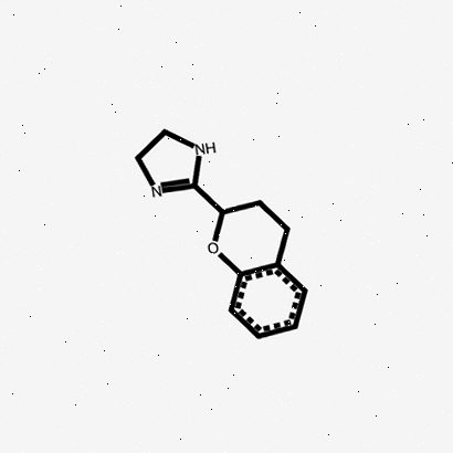 c1ccc2c(c1)CCC(C1=NCCN1)O2